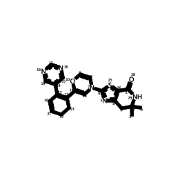 CC1(C)Cc2nc(N3C=COC(C4=C(c5cncnc5)C=CCC4)=C3)sc2C(=O)N1